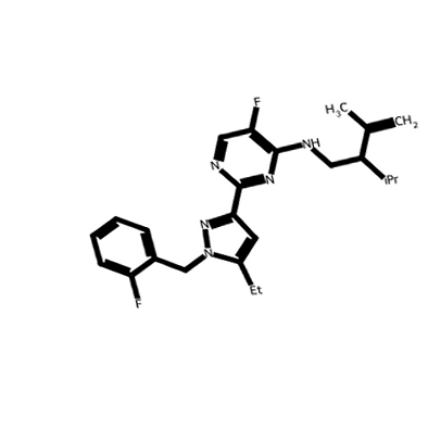 C=C(C)C(CNc1nc(-c2cc(CC)n(Cc3ccccc3F)n2)ncc1F)C(C)C